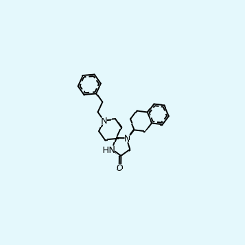 O=C1CN(C2CCc3ccccc3C2)C2(CCN(CCc3ccccc3)CC2)N1